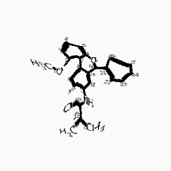 COc1cccc2c1-c1ccc(NC(=O)C(C)C)cc1C(c1ccccc1)O2